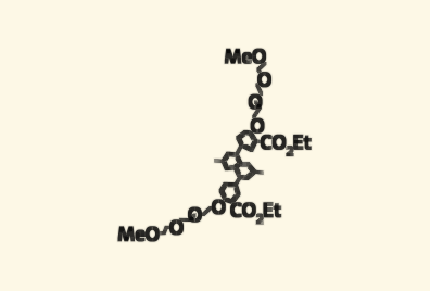 CCOC(=O)c1cc(-c2cc(C)cc3c(-c4ccc(OCCOCCOCCOC)c(C(=O)OCC)c4)cc(C)cc23)ccc1OCCOCCOCCOC